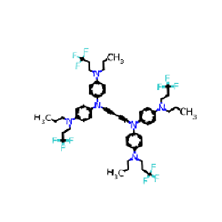 CCCN(CCC(F)(F)F)c1ccc(N(C#CC#CN(c2ccc(N(CCC)CCC(F)(F)F)cc2)c2ccc(N(CCC)CCC(F)(F)F)cc2)c2ccc(N(CCC)CCC(F)(F)F)cc2)cc1